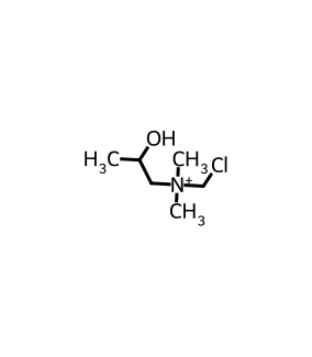 CC(O)C[N+](C)(C)CCl